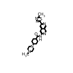 Cc1nnc(-c2cc3cc(NC(=O)C4CCC(N5CCN(C)CC5)CC4)ncc3cn2)s1